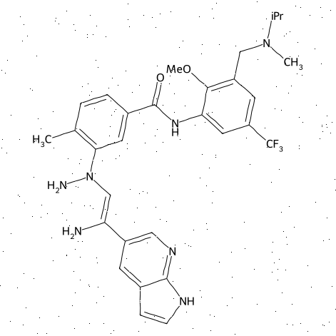 COc1c(CN(C)C(C)C)cc(C(F)(F)F)cc1NC(=O)c1ccc(C)c(N(N)/C=C(\N)c2cnc3[nH]ccc3c2)c1